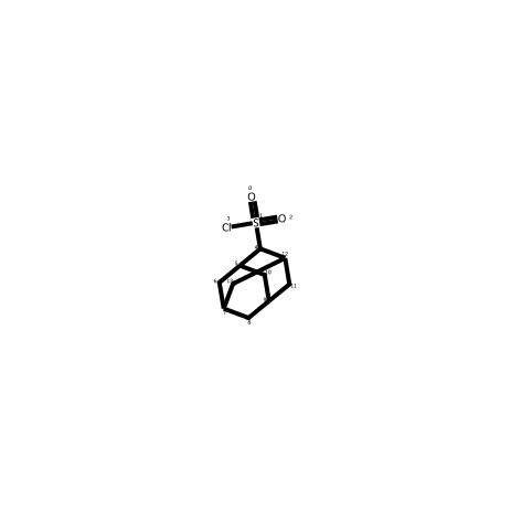 O=S(=O)(Cl)C1C2CC3CC(C2)CC1C3